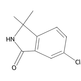 CC1(C)NC(=O)c2cc(Cl)ccc21